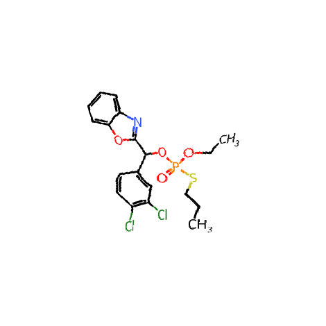 CCCSP(=O)(OCC)OC(c1ccc(Cl)c(Cl)c1)c1nc2ccccc2o1